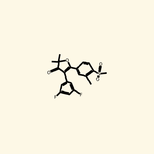 Cc1cc(C2=C(c3cc(F)cc(F)c3)C(=O)C(C)(C)O2)ccc1S(C)(=O)=O